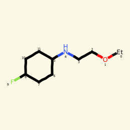 CCOCCNC1CCC(F)CC1